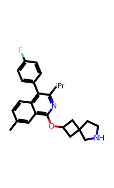 Cc1ccc2c(-c3ccc(F)cc3)c(C(C)C)nc(OC3CC4(CCNC4)C3)c2c1